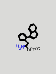 CCCCCC(N)Cc1ccccc1-c1cccc2ccccc12